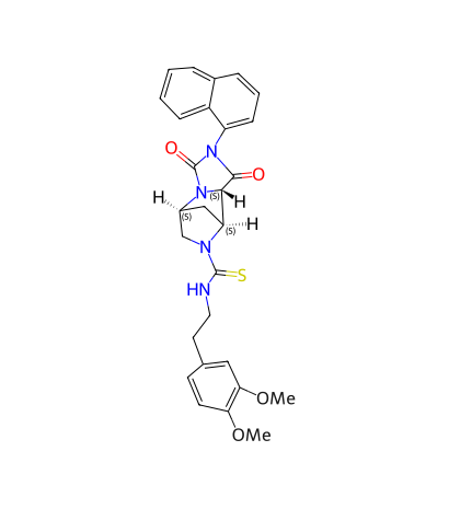 COc1ccc(CCNC(=S)N2C[C@@H]3C[C@H]2[C@H]2C(=O)N(c4cccc5ccccc45)C(=O)N32)cc1OC